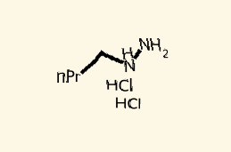 CCCCNN.Cl.Cl